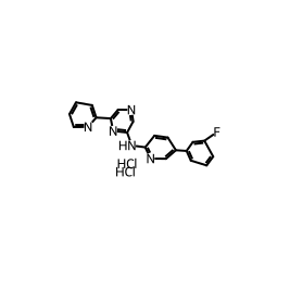 Cl.Cl.Fc1cccc(-c2ccc(Nc3cncc(-c4ccccn4)n3)nc2)c1